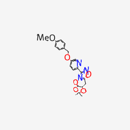 COc1ccc(COc2ccc(-c3noc(CC4OC(C)(C)OC4=O)n3)nc2)cc1